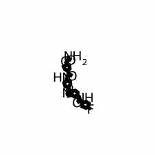 NC(=O)Oc1ccc(C(=O)Nc2ccc(-n3ncc4cc(NC(=O)c5ccc(F)cc5)ccc43)cc2)cc1